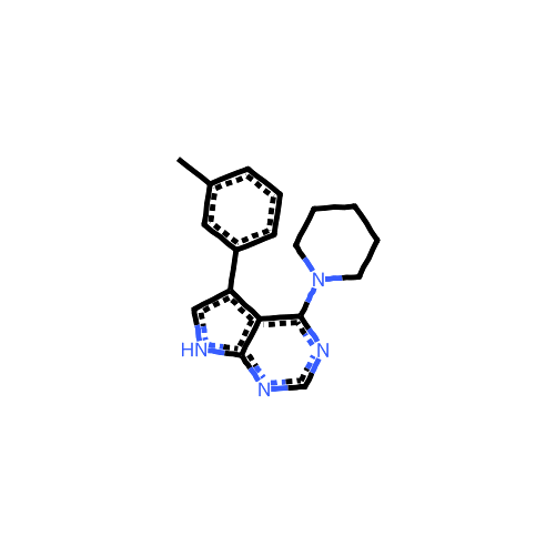 Cc1cccc(-c2c[nH]c3ncnc(N4CCCCC4)c23)c1